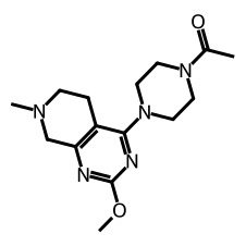 COc1nc2c(c(N3CCN(C(C)=O)CC3)n1)CCN(C)C2